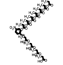 CC(C)c1ccc([N+](=O)[O-])cc1.CCC(=O)O.CCC(=O)O.CCC(=O)O.CCC(=O)O.CCC(=O)O.CCC(=O)O.CCC(=O)O.CCC(=O)O.CCC(=O)O.CCC(=O)O.CCC(=O)O